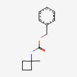 CC1(NC(=O)OCc2ccccc2)CCC1